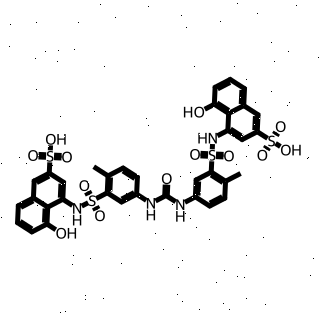 Cc1ccc(NC(=O)Nc2ccc(C)c(S(=O)(=O)Nc3cc(S(=O)(=O)O)cc4cccc(O)c34)c2)cc1S(=O)(=O)Nc1cc(S(=O)(=O)O)cc2cccc(O)c12